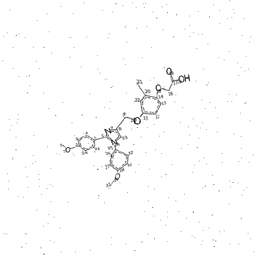 COc1ccc(-c2nc(COc3ccc(OCC(=O)O)c(C)c3)cn2-c2ccc(OC)cc2)cc1